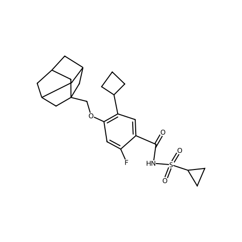 O=C(NS(=O)(=O)C1CC1)c1cc(C2CCC2)c(OCC23CC4CC(CC(C4)C2)C3)cc1F